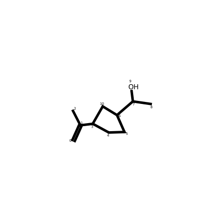 C=C(C)C1CCC(C(C)O)C1